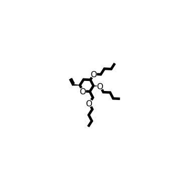 C=C[C@H]1CC(OCCCC)[C@H](OCCCC)C(COCCCC)O1